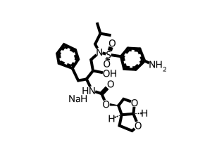 CC(C)CN(CC(O)C(Cc1ccccc1)NC(=O)O[C@H]1CO[C@H]2OCC[C@H]21)S(=O)(=O)c1ccc(N)cc1.[NaH]